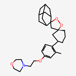 Cc1cc(OCCN2CCOCC2)ccc1C1CCC[C@@]2(C1)CC1(OO2)C2CC3CC(C2)CC1C3